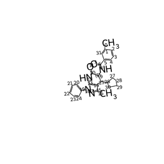 Cc1cccc(C(=O)N[C@@H]2C(=O)Nc3c(c(C)nn3-c3ccccc3)C2C2CCCC2)c1